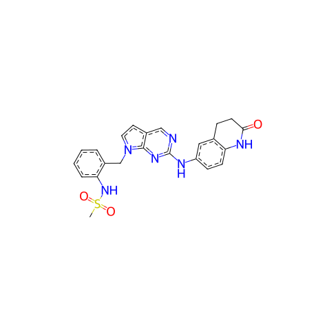 CS(=O)(=O)Nc1ccccc1Cn1ccc2cnc(Nc3ccc4c(c3)CCC(=O)N4)nc21